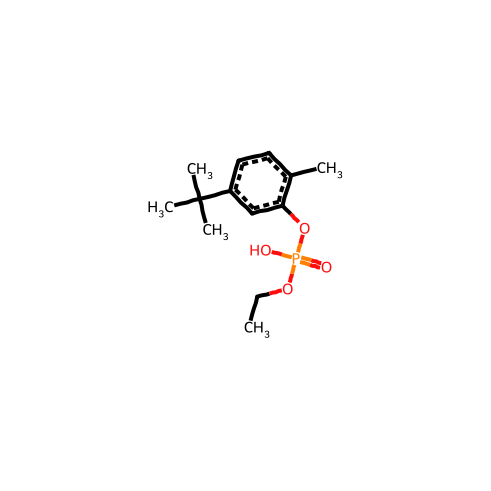 CCOP(=O)(O)Oc1cc(C(C)(C)C)ccc1C